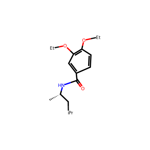 CCOc1ccc(C(=O)N[C@@H](C)CC(C)C)cc1OCC